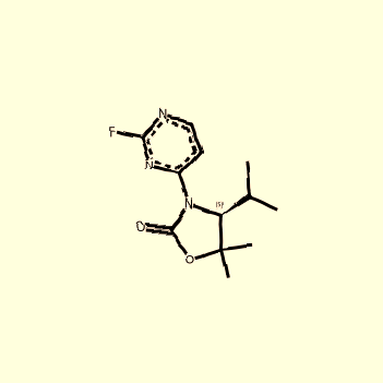 CC(C)[C@@H]1N(c2ccnc(F)n2)C(=O)OC1(C)C